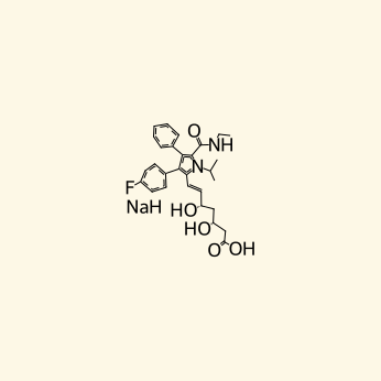 CCNC(=O)c1c(-c2ccccc2)c(-c2ccc(F)cc2)c(C=C[C@@H](O)C[C@@H](O)CC(=O)O)n1C(C)C.[NaH]